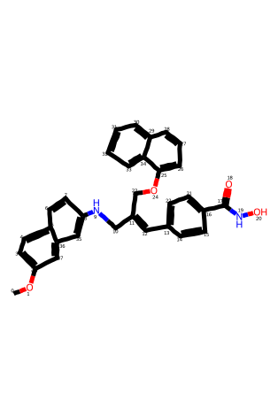 COc1ccc2ccc(NCC(=Cc3ccc(C(=O)NO)cc3)COc3cccc4ccccc34)cc2c1